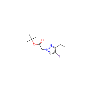 CCc1nn(CC(=O)OC(C)(C)C)cc1I